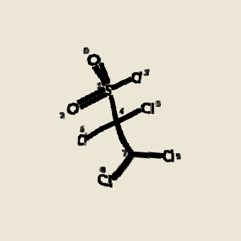 O=S(=O)(Cl)C(Cl)(Cl)C(Cl)Cl